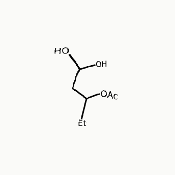 CCC(CC(O)O)OC(C)=O